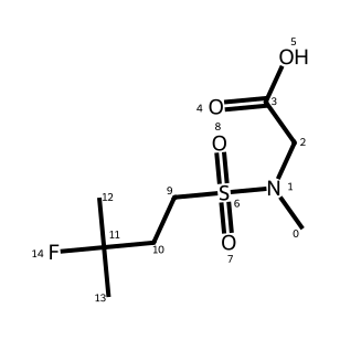 CN(CC(=O)O)S(=O)(=O)CCC(C)(C)F